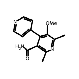 COc1c(C)nc(C)c(C(N)=O)c1-c1ccncc1